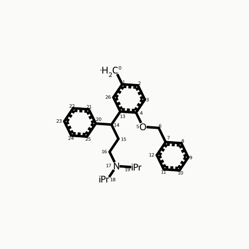 [CH2]c1ccc(OCc2ccccc2)c(C(CCN(C(C)C)C(C)C)c2ccccc2)c1